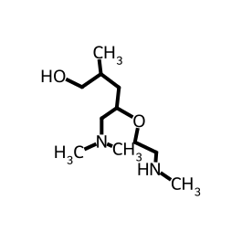 CNCCOC(CC(C)CO)CN(C)C